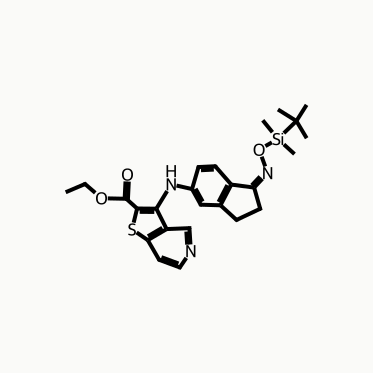 CCOC(=O)c1sc2ccncc2c1Nc1ccc2c(c1)CC/C2=N/O[Si](C)(C)C(C)(C)C